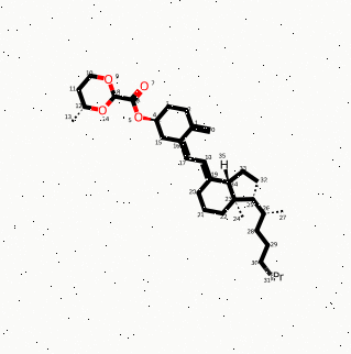 C=C1CC[C@H](OC(=O)C2OCC[C@@H](C)O2)C/C1=C/C=C1\CCC[C@]2(C)[C@@H]([C@H](C)CCCC(C)C)CC[C@@H]12